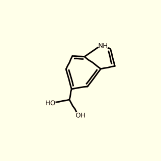 OC(O)c1ccc2[nH]ccc2c1